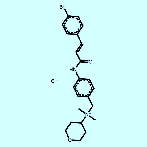 C[N+](C)(Cc1ccc(NC(=O)C=Cc2ccc(Br)cc2)cc1)C1CCOCC1.[Cl-]